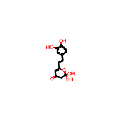 O=C1C=C(C=Cc2ccc(O)c(O)c2)OC(O)(O)C1